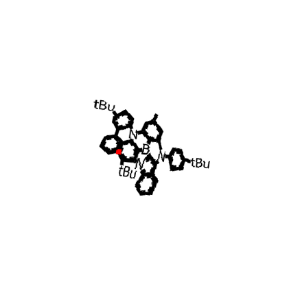 Cc1cc2c3c(c1)N(c1ccc(C(C)(C)C)cc1)c1c4n(c5ccccc15)-c1c(C(C)(C)C)ccc(c1B34)N2c1ccc(C(C)(C)C)cc1-c1ccccc1